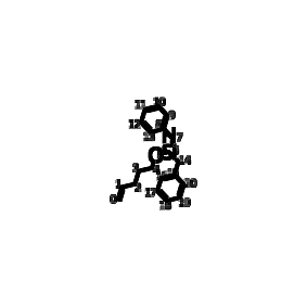 C=CCCCO[SiH](Cc1ccccc1)Cc1ccccc1